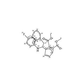 COC(=O)C1=C(C(=O)OC)C2(C(Cc3ccccc3Cl)Nc3ccc(F)cc3)C=CC1O2